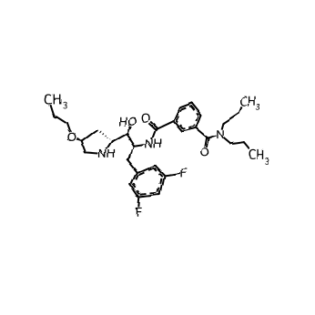 CCCO[C@@H]1CN[C@@H]([C@@H](O)[C@H](Cc2cc(F)cc(F)c2)NC(=O)c2cccc(C(=O)N(CCC)CCC)c2)C1